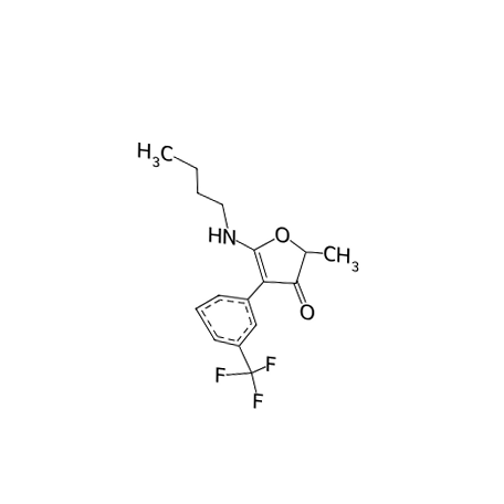 CCCCNC1=C(c2cccc(C(F)(F)F)c2)C(=O)C(C)O1